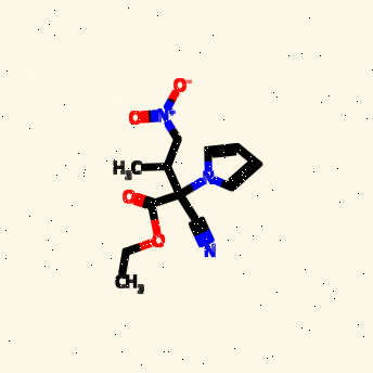 CCOC(=O)C(C#N)(C(C)C[N+](=O)[O-])n1cccc1